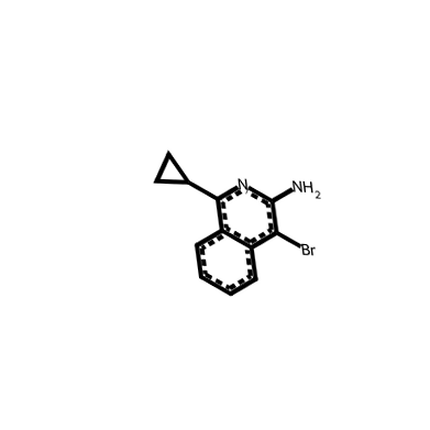 Nc1nc(C2CC2)c2ccccc2c1Br